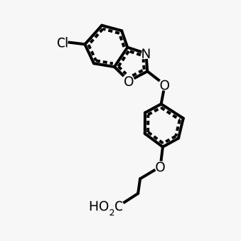 O=C(O)CCOc1ccc(Oc2nc3ccc(Cl)cc3o2)cc1